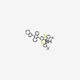 CC(C)(C)c1ccc2c(c1)BC1c3cc(C(C)(C)C)ccc3Sc3cc(-c4c5ccccc5c(-c5ccc6c(c5)C=CC=CC6)c5ccccc45)cc(c31)S2